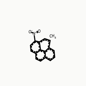 C.O=[N+]([O-])c1ccc2ccc3cccc4ccc1c2c34